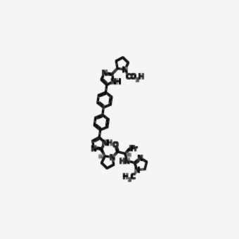 CC(C)[C@@H](NC1=NCCN1C)C(=O)N1CCC[C@H]1c1ncc(-c2ccc(-c3ccc(-c4cnc(C5CCCN5C(=O)O)[nH]4)cc3)cc2)[nH]1